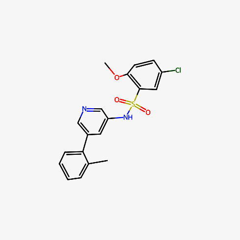 COc1ccc(Cl)cc1S(=O)(=O)Nc1cncc(-c2ccccc2C)c1